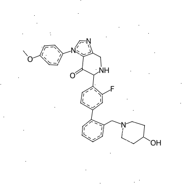 COc1ccc(-n2cnc3c2C(=O)C(c2ccc(-c4ccccc4CN4CCC(O)CC4)cc2F)NC3)cc1